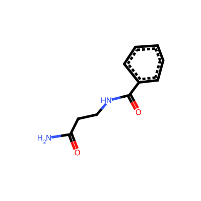 NC(=O)CCNC(=O)c1ccccc1